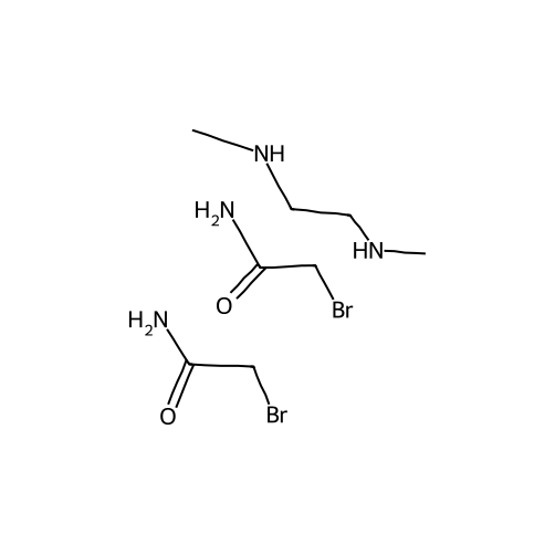 CNCCNC.NC(=O)CBr.NC(=O)CBr